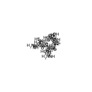 N=C(N)NCCC[C@H](NC(=O)[C@H](CC(=O)O)NC(=O)CNC(=O)[C@H](CCCNC(=N)N)NC(=O)[C@@H](N)CS)C(=O)NCC(=O)N1CCC[C@H]1C(=O)N[C@@H](CC(=O)O)C(=O)N[C@@H](CS)C(=O)O